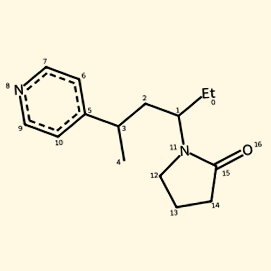 CCC(CC(C)c1ccncc1)N1CCCC1=O